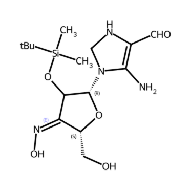 CC(C)(C)[Si](C)(C)OC1/C(=N/O)[C@@H](CO)O[C@H]1N1CNC(C=O)=C1N